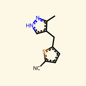 Cc1n[nH]cc1Cc1ccc(C#N)s1